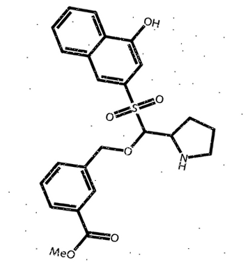 COC(=O)c1cccc(COC(C2CCCN2)S(=O)(=O)c2cc(O)c3ccccc3c2)c1